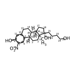 C[C@]12CC[C@@H]3c4cc([N+](=O)[O-])c(O)cc4CC[C@H]3[C@@H]1CC[C@@]2(O)CCCCO